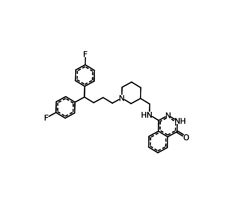 O=c1[nH]nc(NCC2CCCN(CCCC(c3ccc(F)cc3)c3ccc(F)cc3)C2)c2ccccc12